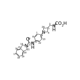 O=C(O)NCC1CN(c2ccc(NC(=O)N3Cc4ccccc4C3)cc2)C1